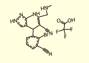 CNCC1=C(C#N)C(c2cccc(C#N)c2Br)c2c[nH]nc2N1.O=C(O)C(F)(F)F